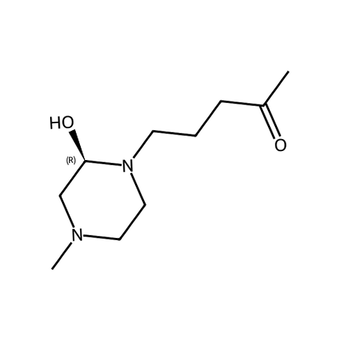 CC(=O)CCCN1CCN(C)C[C@H]1O